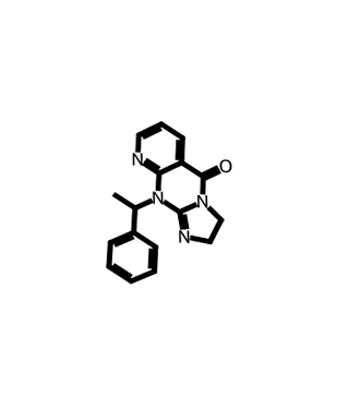 CC(c1ccccc1)N1C2=NCCN2C(=O)c2cccnc21